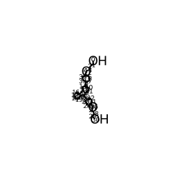 OCCCOc1ccc(-c2ccc3c(c2)-c2ccccc2C3c2ccc(OCCCO)cc2)cc1